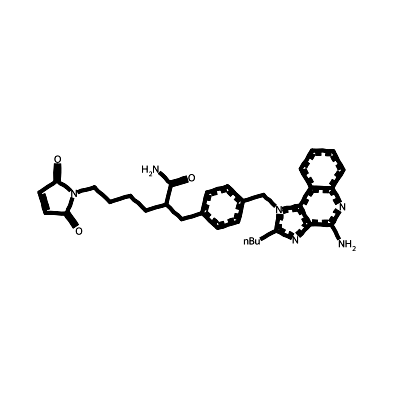 CCCCc1nc2c(N)nc3ccccc3c2n1Cc1ccc(CC(CCCCN2C(=O)C=CC2=O)C(N)=O)cc1